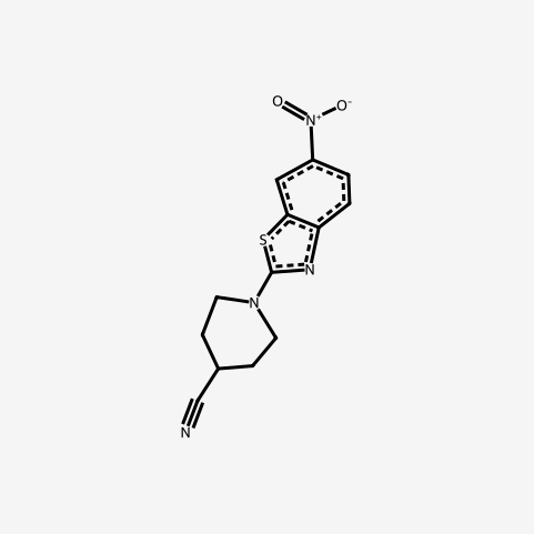 N#CC1CCN(c2nc3ccc([N+](=O)[O-])cc3s2)CC1